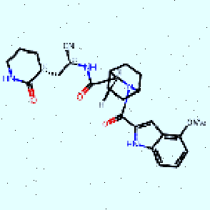 COc1cccc2[nH]c(C(=O)N3C4CCC(CC4)[C@H]3C(=O)N[C@H](C#N)C[C@H]3CCCNC3=O)cc12